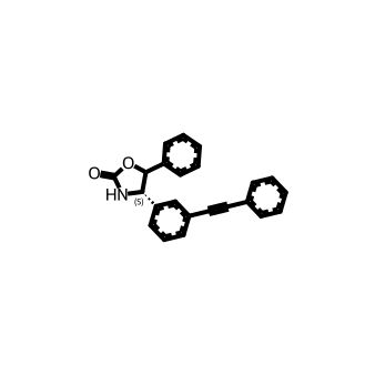 O=C1N[C@@H](c2cccc(C#Cc3ccccc3)c2)C(c2ccccc2)O1